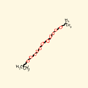 CC(C)CCCOCCOCCOCCOCCOCCOCCOCCOCCOCCOCCOCCCC(C)C